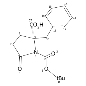 CC(C)(C)OC(=O)N1C(=O)CC[C@]1(Cc1ccccc1)C(=O)O